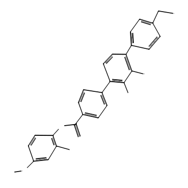 CCc1ccc(-c2ccc(-c3ccc(C(=O)Oc4ccc(OC)cc4F)cc3)c(F)c2F)cc1